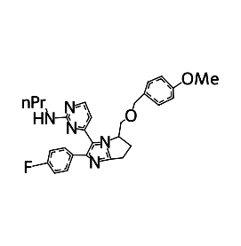 CCCNc1nccc(-c2c(-c3ccc(F)cc3)nc3n2C(COCc2ccc(OC)cc2)CC3)n1